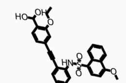 CCOc1cc(C#Cc2ccccc2NS(=O)(=O)c2ccc(OC)c3ccccc23)ccc1C(O)O